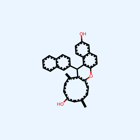 C=c1ccc2c(c(=C)ccc(O)c1)C(c1ccc3ccccc3c1)c1c(ccc3cc(O)ccc13)O2